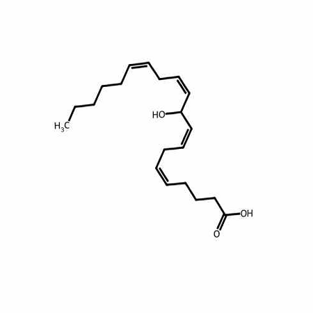 CCCCC/C=C\C/C=C\C(O)/C=C\C/C=C\CCCC(=O)O